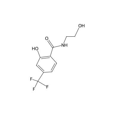 O=C(NCCO)c1ccc(C(F)(F)F)cc1O